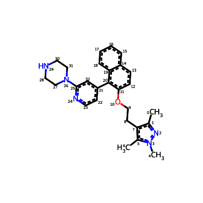 Cc1nn(C)c(C)c1CCOc1ccc2ccccc2c1-c1ccnc(N2CCNCC2)c1